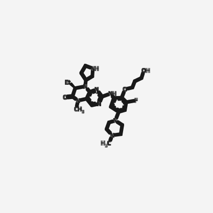 CC[C@@H]1C(=O)N(C)c2cnc(Nc3cc(N4CCN(C)CC4)cc(F)c3OCCCO)nc2N1C1CCNC1